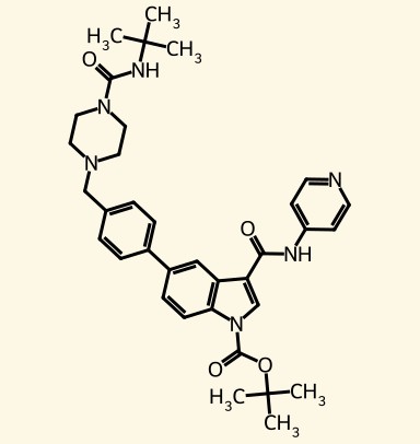 CC(C)(C)NC(=O)N1CCN(Cc2ccc(-c3ccc4c(c3)c(C(=O)Nc3ccncc3)cn4C(=O)OC(C)(C)C)cc2)CC1